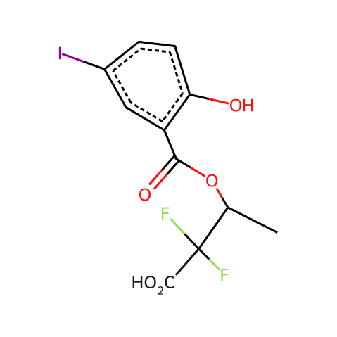 CC(OC(=O)c1cc(I)ccc1O)C(F)(F)C(=O)O